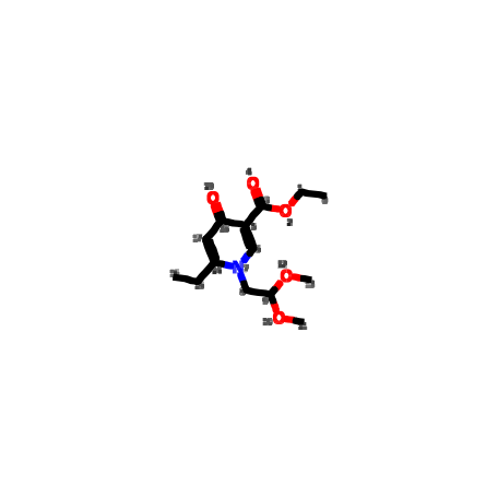 CCOC(=O)c1cn(CC(OC)OC)c(CC)cc1=O